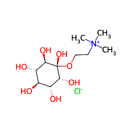 C[N+](C)(C)CCO[C@]1(O)[C@H](O)[C@H](O)[C@@H](O)[C@H](O)[C@H]1O.[Cl-]